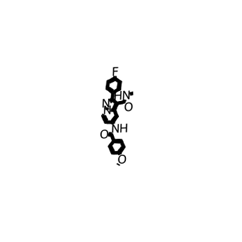 CNC(=O)c1c(-c2ccc(F)cc2)nn2ccc(NC(=O)c3ccc(OC)cc3)cc12